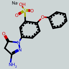 NC1=NN(c2ccc(Oc3ccccc3)c(S(=O)(=O)O)c2)C(=O)C1.[Na]